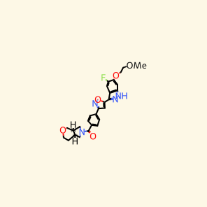 COCCOc1cc2[nH]nc(-c3cc(-c4ccc(C(=O)N5C[C@H]6COCC[C@H]6C5)cc4)no3)c2cc1F